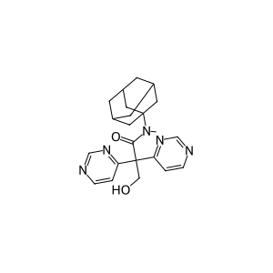 CN(C(=O)C(CO)(c1ccncn1)c1ccncn1)C12CC3CC(CC(C3)C1)C2